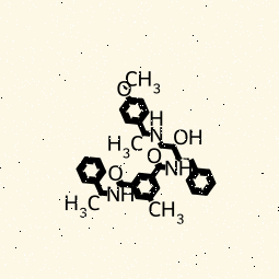 COc1ccc([C@@H](C)NC[C@@H](O)[C@H](Cc2ccccc2)NC(=O)c2cc(C)cc(C(=O)N[C@@H](C)c3ccccc3)c2)cc1